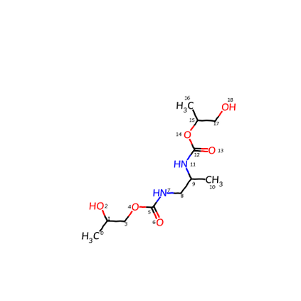 CC(O)COC(=O)NCC(C)NC(=O)OC(C)CO